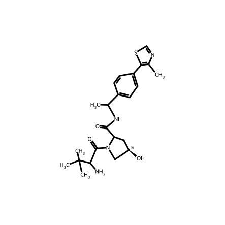 Cc1ncsc1-c1ccc(C(C)NC(=O)C2C[C@@H](O)CN2C(=O)C(N)C(C)(C)C)cc1